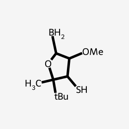 BC1OC(C)(C(C)(C)C)C(S)C1OC